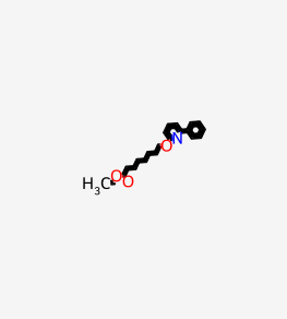 CCOC(=O)CCCCCCCOc1cccc(-c2ccccc2)n1